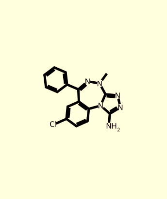 CN1N=C(c2ccccc2)c2cc(Cl)ccc2-n2c(N)nnc21